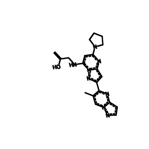 C=C(O)CNc1cc(N2CCCC2)nc2cc(-c3nc4ccnn4cc3C)nn12